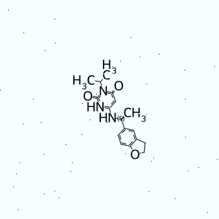 CC(C)n1c(=O)cc(N[C@@H](C)c2ccc3c(c2)CCO3)[nH]c1=O